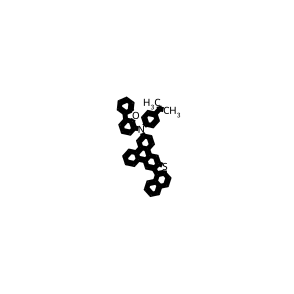 CC(C)c1ccc(N(c2ccc3c(c2)c2ccccc2c2cc4c(cc32)sc2ccc3ccccc3c24)c2cccc3c2oc2ccccc23)cc1